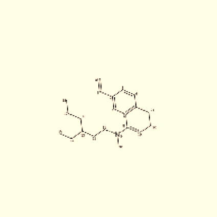 C=Cc1ccc2c(c1)C(N(C)CCC(CC)CCC)=CCC2